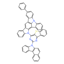 c1ccc(-c2ccc3c(c2)c2cc4c5ccccc5n(-c5nc(-n6c7ccccc7c7c8ccccc8ccc76)nc6c5sc5ccccc56)c4c4c5ccccc5n3c24)cc1